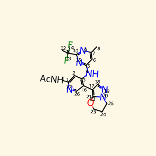 CC(=O)Nc1cc(Nc2cc(C)nc(C(C)(F)F)n2)c(-c2cnn3c2OCCC3)cn1